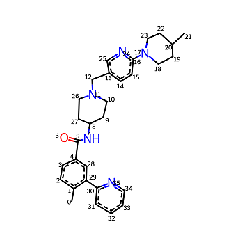 Cc1ccc(C(=O)NC2CCN(Cc3ccc(N4CCC(C)CC4)nc3)CC2)cc1-c1ccccn1